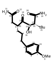 COc1ccc(CCC[C@H](CC(N)=O)C(=O)N(O)[C@H](C(N)=O)C(C)(C)C)cc1